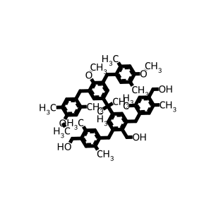 COc1cc(C)c(Cc2cc(C(C)(C)c3cc(Cc4cc(C)c(CO)cc4C)c(CO)c(Cc4cc(C)c(CO)cc4C)c3)cc(Cc3cc(C)c(OC)cc3C)c2OC)cc1C